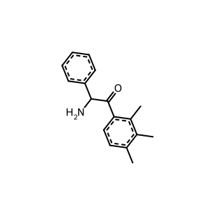 Cc1ccc(C(=O)C(N)c2ccccc2)c(C)c1C